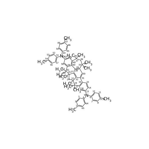 Cc1ccc(N(c2ccc(C)cc2)c2ccc3c(c2)C(C)(C)C2(C)CC4(C)c5c6c(cc-3c52)C(C)(C)CC(C)(C)c2cc(N(c3ccc(C)cc3)c3ccc(C)cc3)cc(c2-6)C4(C)C)cc1